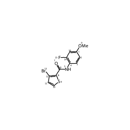 COc1ccc(NC(=O)c2sccc2Br)c(F)c1